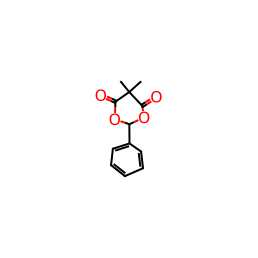 CC1(C)C(=O)OC(c2ccccc2)OC1=O